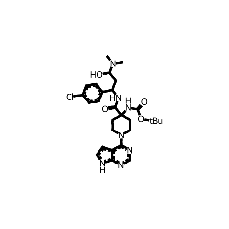 CN(C)C(O)CC(NC(=O)C1(NC(=O)OC(C)(C)C)CCN(c2ncnc3[nH]ccc23)CC1)c1ccc(Cl)cc1